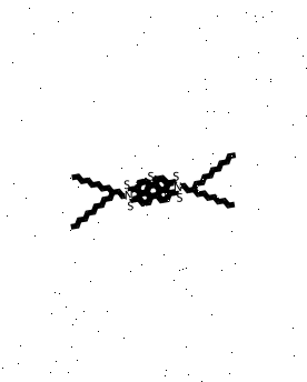 CCCCCCCCCCC(CCCCCCCC)CCn1c(=S)c2ccc3c4ccc5c(=S)n(CCC(CCCCCCCC)CCCCCCCCCC)c(=S)c6cc7sc8cc(c1=S)c2c3c8c7c4c56